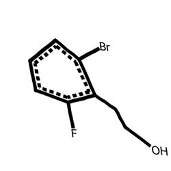 OCCc1c(F)cccc1Br